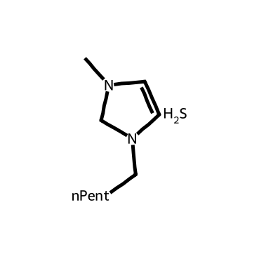 CCCCCCN1C=CN(C)C1.S